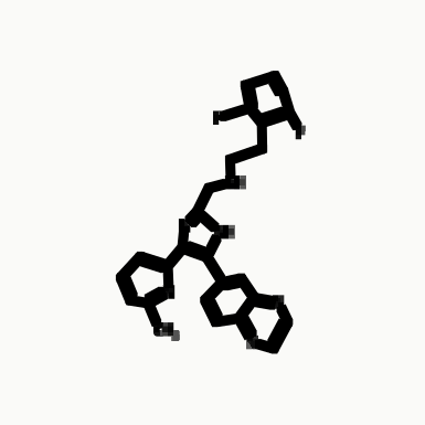 Cc1cccc(-c2nc(CNCCc3c(F)cccc3F)[nH]c2-c2ccc3nccnc3c2)n1